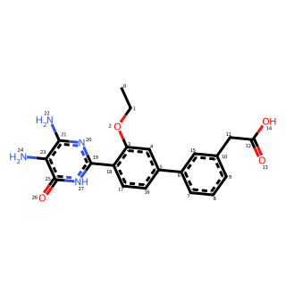 CCOc1cc(-c2cccc(CC(=O)O)c2)ccc1-c1nc(N)c(N)c(=O)[nH]1